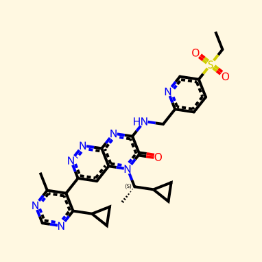 CCS(=O)(=O)c1ccc(CNc2nc3nnc(-c4c(C)ncnc4C4CC4)cc3n([C@@H](C)C3CC3)c2=O)nc1